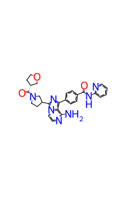 Nc1nccn2c(C3CCN(C(=O)[C@@H]4CCOC4)C3)nc(-c3ccc(C(=O)Nc4ccccn4)cc3)c12